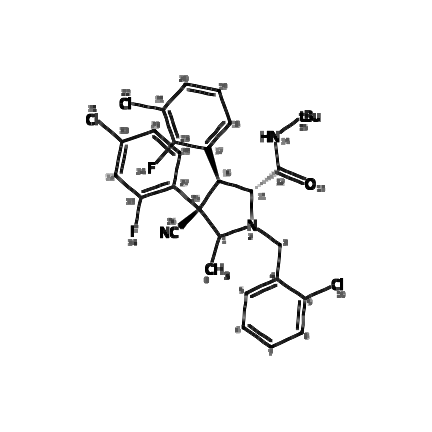 CC1N(Cc2ccccc2Cl)[C@@H](C(=O)NC(C)(C)C)[C@H](c2cccc(Cl)c2F)[C@@]1(C#N)c1ccc(Cl)cc1F